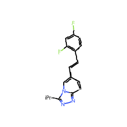 CC(C)c1nnc2ccc(C=Cc3ccc(F)cc3F)cn12